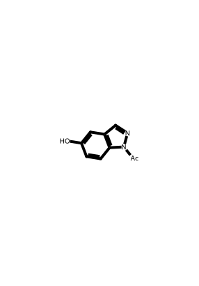 CC(=O)n1ncc2cc(O)ccc21